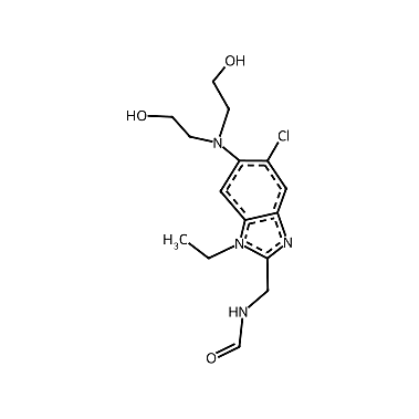 CCn1c(CNC=O)nc2cc(Cl)c(N(CCO)CCO)cc21